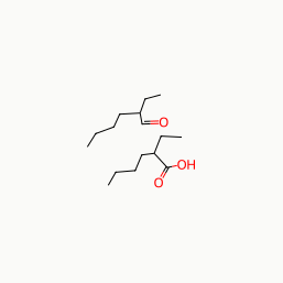 CCCCC(C=O)CC.CCCCC(CC)C(=O)O